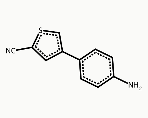 N#Cc1cc(-c2ccc(N)cc2)cs1